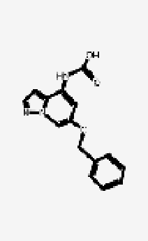 O=C(O)Nc1cc(OCc2ccccc2)cn2nccc12